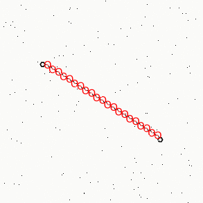 c1ccc(OCCOCCOCCOCCOCCOCCOCCOCCOCCOCCOCCOCCOCCOCCOCCOCCOCCOCCOCCOCCOc2ccccc2)cc1